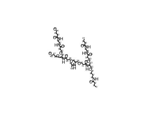 CCCC(=O)NCCCCOCC(COCCC(=O)NCCNC(=O)CCC)NC(=O)CCOCC(COCCC(=O)NC(COCCC=O)COCCC(=O)NCCNC(=O)CCC=O)NC(C)C